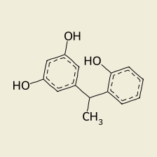 CC(c1cc(O)cc(O)c1)c1ccccc1O